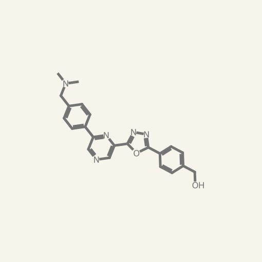 CN(C)Cc1ccc(-c2cncc(-c3nnc(-c4ccc(CO)cc4)o3)n2)cc1